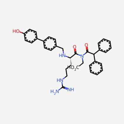 N=C(N)NCCC[C@H](NCc1ccc(-c2ccc(O)cc2)cc1)C(=O)N(CC(=O)O)C(=O)C(c1ccccc1)c1ccccc1